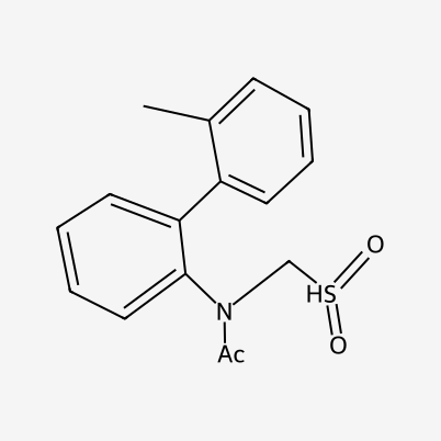 CC(=O)N(C[SH](=O)=O)c1ccccc1-c1ccccc1C